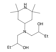 CCC(O)CN(CC(O)CC)C1CC(C)(C)NC(C)(C)C1